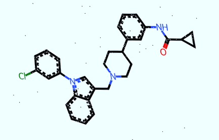 O=C(Nc1cccc(C2CCN(Cc3cn(-c4cccc(Cl)c4)c4ccccc34)CC2)c1)C1CC1